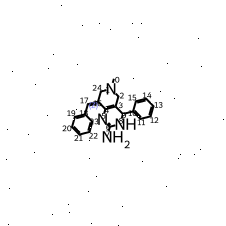 CN1CC2=C(N=C(N)NC2c2ccccc2)/C(=C\c2ccccc2)C1